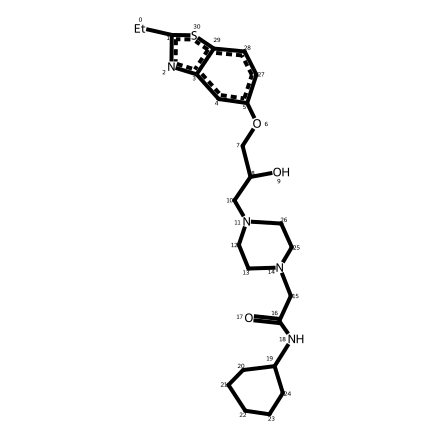 CCc1nc2cc(OCC(O)CN3CCN(CC(=O)NC4CCCCC4)CC3)ccc2s1